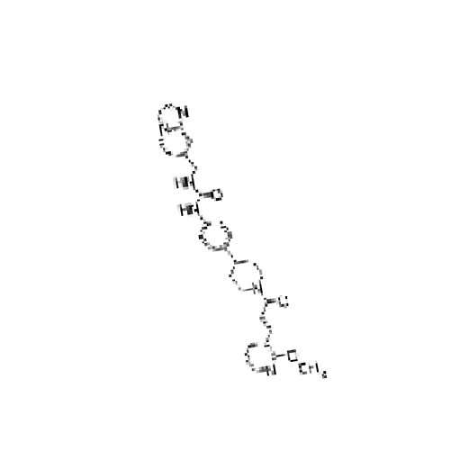 COc1ncccc1C=CC(=O)N1CCC(c2ccc(NC(=O)NCc3ccn4ccnc4c3)cc2)CC1